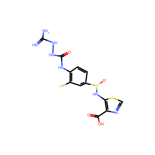 N=C(N)NNC(=O)Nc1ccc([S+]([O-])Nc2scnc2C(=O)O)cc1F